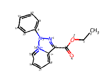 CCOC(=O)c1nn(-c2ccccc2)[n+]2ccccc12